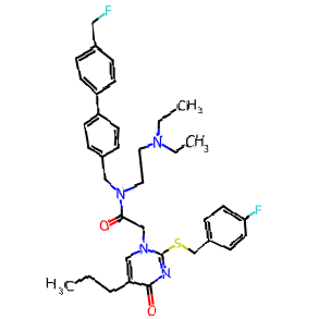 CCCc1cn(CC(=O)N(CCN(CC)CC)Cc2ccc(-c3ccc(CF)cc3)cc2)c(SCc2ccc(F)cc2)nc1=O